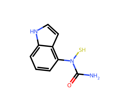 NC(=O)N(S)c1cccc2[nH]ccc12